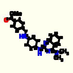 COC(=O)c1ccc(CN[C@H]2CC[C@@H](Nc3nc(N(C)C)c4ccccc4n3)CC2)cc1